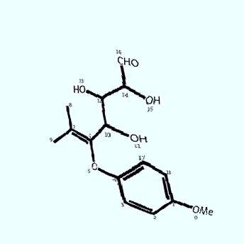 COc1ccc(OC(=C(C)C)C(O)C(O)C(O)C=O)cc1